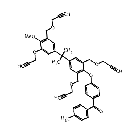 C#CCOCc1cc(C(C)(C)c2cc(COCC#C)c(OC)c(OCC#C)c2)cc(COCC#C)c1Oc1ccc(C(=O)c2ccc(C)cc2)cc1